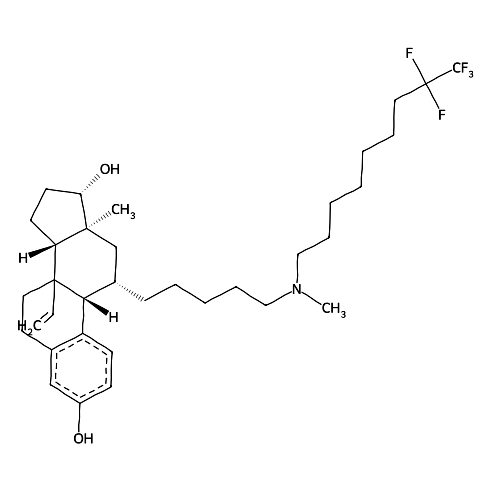 C=CC12CCc3cc(O)ccc3[C@H]1[C@@H](CCCCCN(C)CCCCCCCC(F)(F)C(F)(F)F)C[C@]1(C)[C@@H](O)CC[C@@H]21